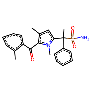 Cc1ccccc1C(=O)c1c(C)cc(C(C)(c2ccccc2)S(N)(=O)=O)n1C